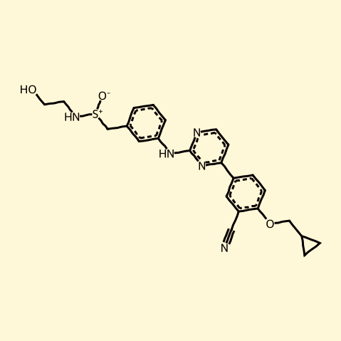 N#Cc1cc(-c2ccnc(Nc3cccc(C[S+]([O-])NCCO)c3)n2)ccc1OCC1CC1